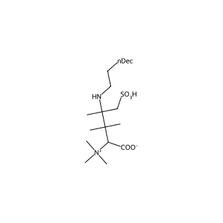 CCCCCCCCCCCCNC(C)(CS(=O)(=O)O)C(C)(C)C(C(=O)[O-])[N+](C)(C)C